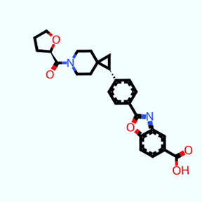 O=C(O)c1ccc2oc(-c3ccc([C@H]4CC45CCN(C(=O)[C@H]4CCCO4)CC5)cc3)nc2c1